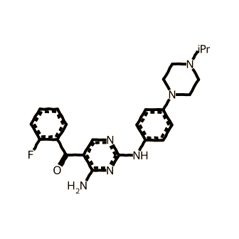 CC(C)N1CCN(c2ccc(Nc3ncc(C(=O)c4ccccc4F)c(N)n3)cc2)CC1